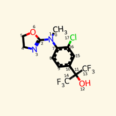 CN(C1=NCCO1)c1ccc(C(O)(C(F)(F)F)C(F)(F)F)cc1Cl